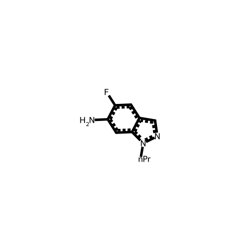 CCCn1ncc2cc(F)c(N)cc21